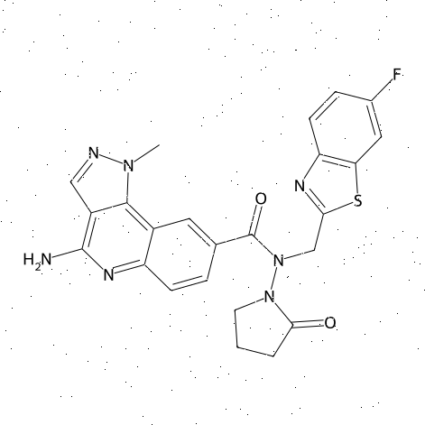 Cn1ncc2c(N)nc3ccc(C(=O)N(Cc4nc5ccc(F)cc5s4)N4CCCC4=O)cc3c21